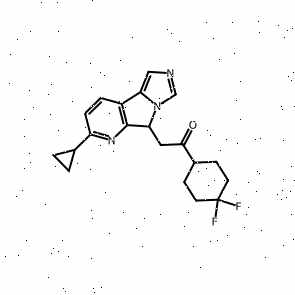 O=C(CC1c2nc(C3CC3)ccc2-c2cncn21)C1CCC(F)(F)CC1